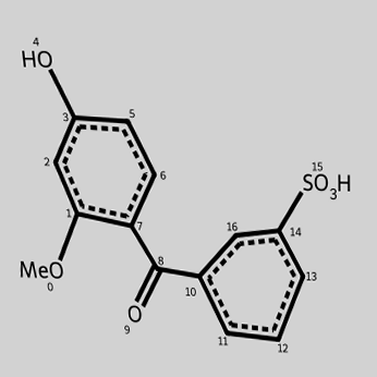 COc1cc(O)ccc1C(=O)c1cccc(S(=O)(=O)O)c1